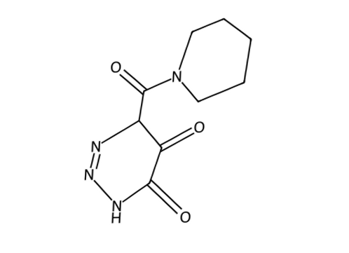 O=C1NN=NC(C(=O)N2CCCCC2)C1=O